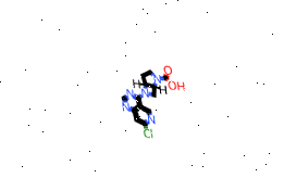 O=C(O)N1CC[C@@H]2[C@H]1CN2c1ncnc2cc(Cl)ncc12